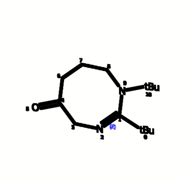 CC(C)(C)/C1=N/CC(=O)CCCN1C(C)(C)C